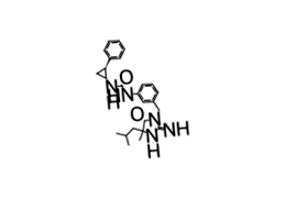 CC(C)CC1(C)NC(=N)N(Cc2cccc(NC(=O)NC3C[C@H]3c3ccccc3)c2)C1=O